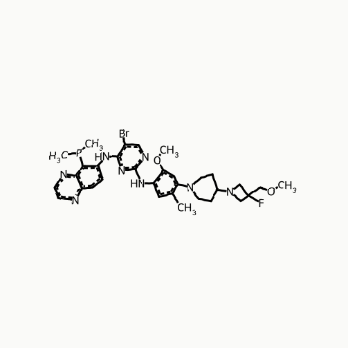 COCC1(F)CN(C2CCN(c3cc(OC)c(Nc4ncc(Br)c(Nc5ccc6nccnc6c5P(C)C)n4)cc3C)CC2)C1